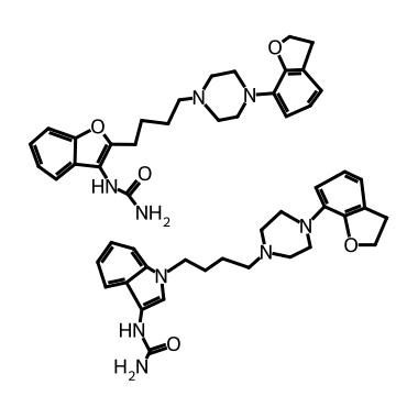 NC(=O)Nc1c(CCCCN2CCN(c3cccc4c3OCC4)CC2)oc2ccccc12.NC(=O)Nc1cn(CCCCN2CCN(c3cccc4c3OCC4)CC2)c2ccccc12